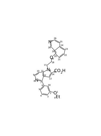 CCOc1cccc(-c2nccc3c2cc(C(=O)O)n3CCOc2cccc3ccncc23)c1